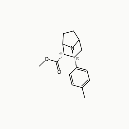 COC(=O)[C@@H]1C2CCC(C[C@@H]1c1ccc(C)cc1)N2C